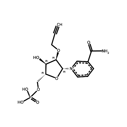 C#CCO[C@@H]1[C@H](O)[C@@H](COP(=O)(O)O)O[C@H]1[n+]1cccc(C(N)=O)c1